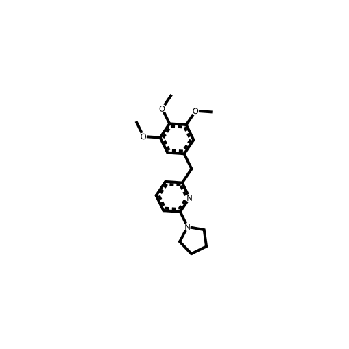 COc1cc(Cc2cccc(N3CCCC3)n2)cc(OC)c1OC